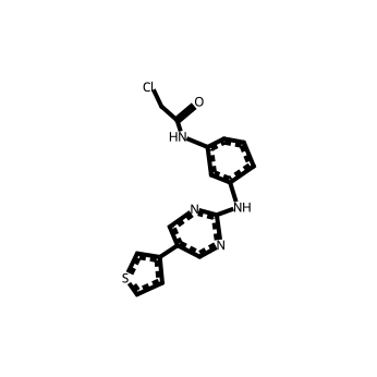 O=C(CCl)Nc1cccc(Nc2ncc(-c3ccsc3)cn2)c1